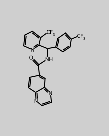 O=C(NC(c1ccc(C(F)(F)F)cc1)c1ncccc1C(F)(F)F)c1ccc2nccnc2c1